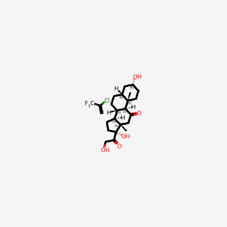 C=C(Cl)C(F)(F)F.C[C@]12CC[C@@H](O)C[C@H]1CC[C@@H]1[C@@H]2C(=O)C[C@@]2(C)[C@H]1CC[C@]2(O)C(=O)CO